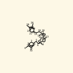 CC1C2CC(CC[Si](C)(C)O[Si](C)(C)O[Si](C)(C)CCC3CC4CC3C(C)C4C)C(C2)C1C